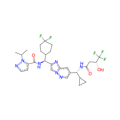 CC(C)n1nccc1C(=O)N[C@H](c1cn2ncc([C@H](NC(=O)C[C@@H](O)C(F)(F)F)C3CC3)cc2n1)C1CCC(F)(F)CC1